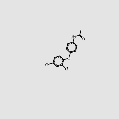 CC(=O)Nc1ccc(Oc2ccc(Cl)cc2Cl)cc1